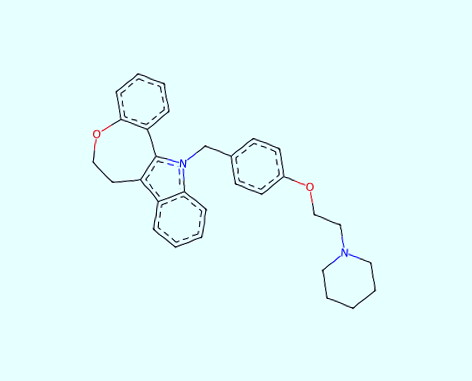 c1ccc2c(c1)OCCc1c-2n(Cc2ccc(OCCN3CCCCC3)cc2)c2ccccc12